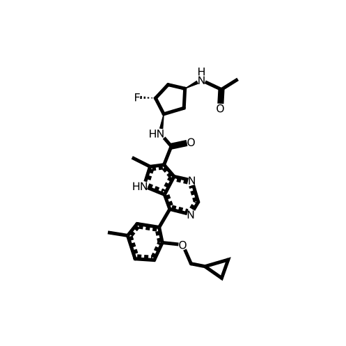 CC(=O)N[C@@H]1C[C@@H](F)[C@H](NC(=O)c2c(C)[nH]c3c(-c4cc(C)ccc4OCC4CC4)ncnc23)C1